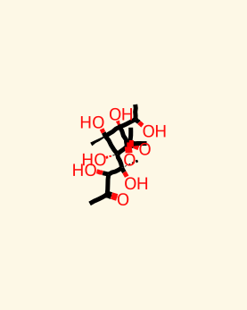 CC(=O)C(O)[C@](C)(O)[C@](O)(C(C)=O)[C@](C)(O)[C@@](O)(C(C)=O)C(C)O